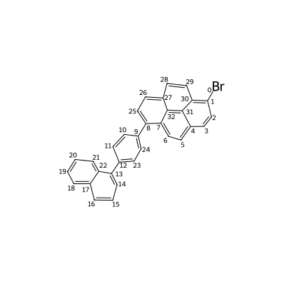 Brc1ccc2ccc3c(-c4ccc(-c5cccc6ccccc56)cc4)ccc4ccc1c2c43